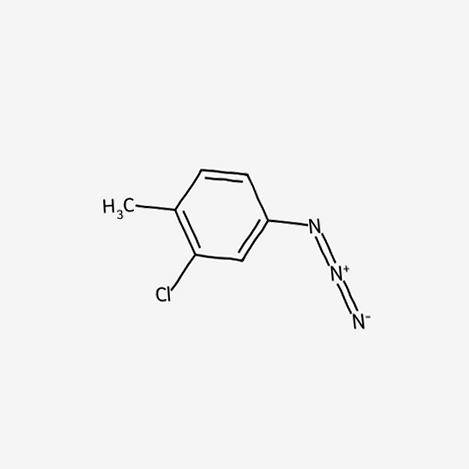 Cc1ccc(N=[N+]=[N-])cc1Cl